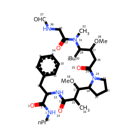 CCCNC(=O)C(Cc1ccccc1)NC(=O)C(C)C(OC)C1CCCN1C(=O)CC(OC)C(C(C)CC)N(C)C(=O)CNC=O